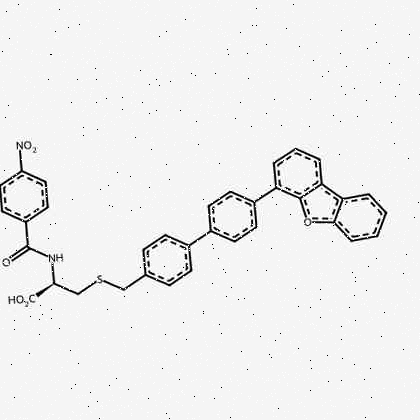 O=C(N[C@@H](CSCc1ccc(-c2ccc(-c3cccc4c3oc3ccccc34)cc2)cc1)C(=O)O)c1ccc([N+](=O)[O-])cc1